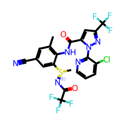 Cc1cc(C#N)cc(/S(C)=N/C(=O)C(F)(F)F)c1NC(=O)c1cc(C(F)(F)F)nn1-c1ncccc1Cl